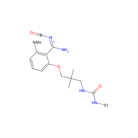 CCNC(=O)NCC(C)(C)COc1cccc(NC)c1/C(N)=N\B=O